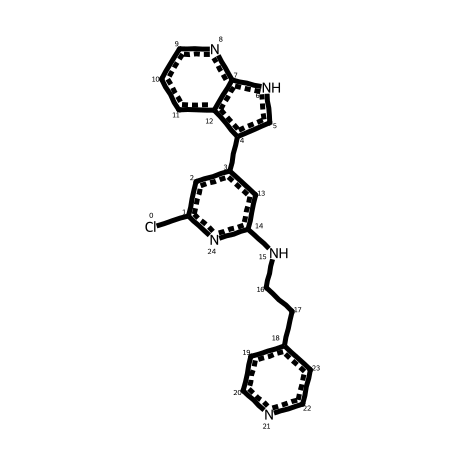 Clc1cc(-c2c[nH]c3ncccc23)cc(NCCc2ccncc2)n1